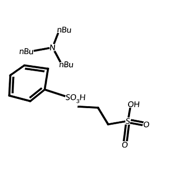 CCCCN(CCCC)CCCC.CCCS(=O)(=O)O.O=S(=O)(O)c1ccccc1